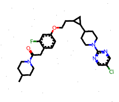 CC1CCN(C(=O)Cc2ccc(OCCC3CC3C3CCN(c4ncc(Cl)cn4)CC3)cc2F)CC1